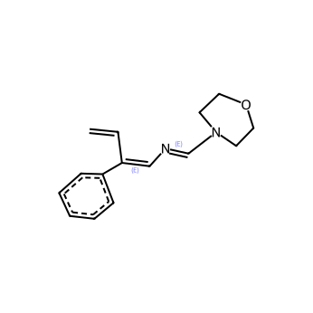 C=C/C(=C\N=C\N1CCOCC1)c1ccccc1